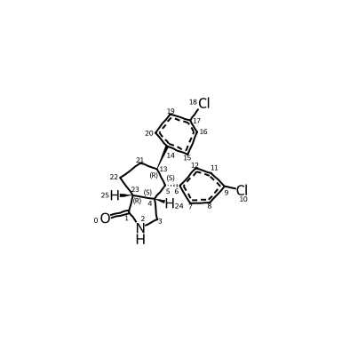 O=C1NC[C@H]2[C@@H](c3ccc(Cl)cc3)[C@H](c3ccc(Cl)cc3)CC[C@@H]12